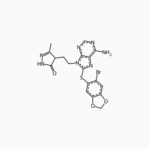 CC1=NNC(=O)C1CCn1c(Sc2cc3c(cc2Br)OCO3)nc2c(N)ncnc21